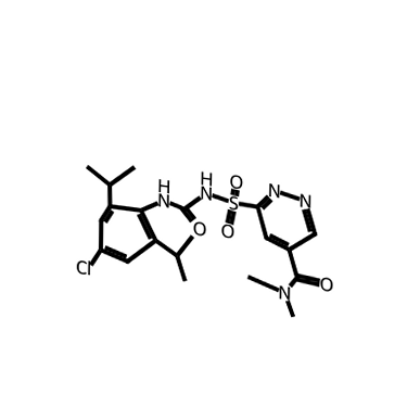 CC(C)c1cc(Cl)cc(C(C)C)c1NC(=O)NS(=O)(=O)c1cc(C(=O)N(C)C)cnn1